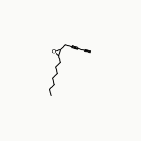 C#CC#CCC1OC1CCCCCCC